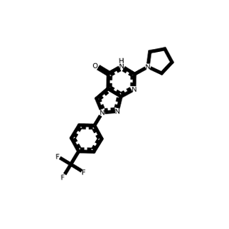 O=c1[nH]c(N2CCCC2)nc2nn(-c3ccc(C(F)(F)F)cc3)cc12